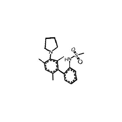 Cc1cc(C)c(N2CCCC2)c(C)c1-c1ccccc1NS(C)(=O)=O